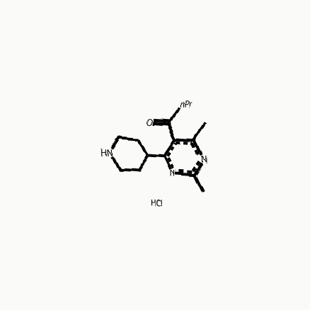 CCCC(=O)c1c(C)nc(C)nc1C1CCNCC1.Cl